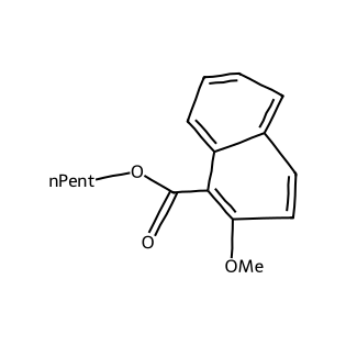 CCCCCOC(=O)c1c(OC)ccc2ccccc12